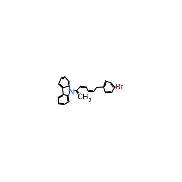 C=C(/C=C\C=C/Cc1ccc(Br)cc1)n1c2ccccc2c2ccccc21